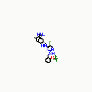 C[C@@H]1CC2C[C@@H](CNc3nc(NCc4ccccc4OC(F)(F)F)ncc3F)C[C@@H](C2)[C@H]1N